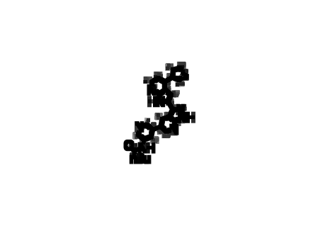 CCCCC(=O)Nc1cncc(-c2cnc3[nH]nc(-c4cc5c(-c6ccsc6)ccnc5[nH]4)c3c2)c1